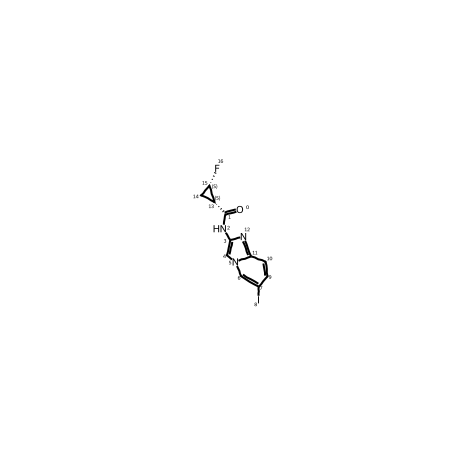 O=C(Nc1cn2cc(I)ccc2n1)[C@@H]1C[C@@H]1F